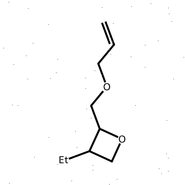 C=CCOCC1OCC1CC